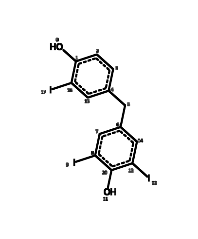 Oc1ccc(Cc2cc(I)c(O)c(I)c2)cc1I